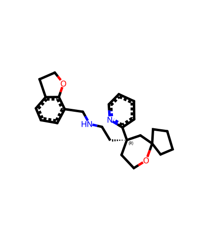 c1ccc([C@]2(CCNCc3cccc4c3OCC4)CCOC3(CCCC3)C2)nc1